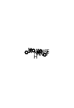 FC(F)(F)c1cccc(Nc2nccn3nc(Nc4ccc5cnn(Cc6ccccc6)c5c4)nc23)c1